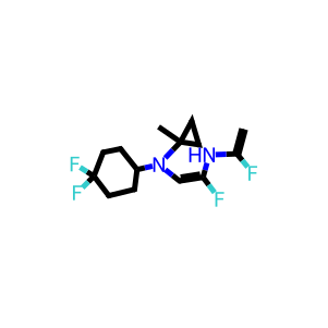 C=C(F)N/C(F)=C\N(C1CCC(F)(F)CC1)C1(C)CC1